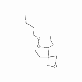 CCCCOOC(CC)C1(CC)COC1